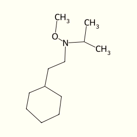 CON(CCC1CCCCC1)C(C)C